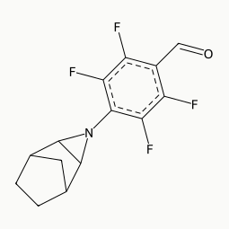 O=Cc1c(F)c(F)c(N2C3C4CCC(C4)C32)c(F)c1F